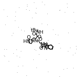 CC(C)(C)NC(=O)C(=O)C(CC1CCCNC1=O)NC(=O)CNC(=O)c1nc2ccccc2[nH]1